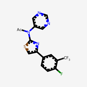 CC(=O)N(c1cncnc1)c1nc(-c2ccc(F)c(C(F)(F)F)c2)cs1